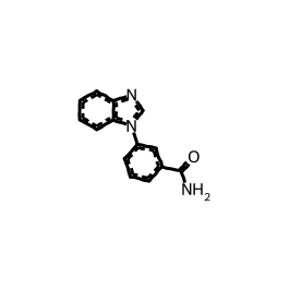 NC(=O)c1cccc(-n2cnc3ccccc32)c1